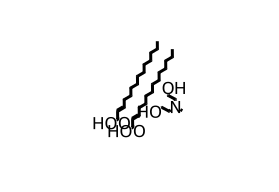 CCCCCCCCCCCC=CC(=O)O.CCCCCCCCCCCC=CC(=O)O.CN(CCO)CCO